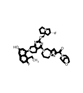 CCc1c(F)ccc2cc(O)cc(N3CCc4c(nc(OC[C@@]56CCCN5C[C@H](F)C6)nc4N4CCCn5nc(C(=O)N6CC7COC(C7)C6)cc5C4)C3)c12